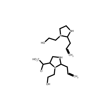 C=CCC1NCC(C(Cl)C(=O)O)N1CCO.C=CCC1NCCN1CCO